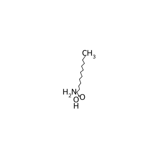 CCCCCCCCCCCCC(N)C(=O)O